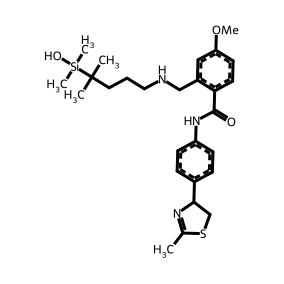 COc1ccc(C(=O)Nc2ccc(C3CSC(C)=N3)cc2)c(CNCCCC(C)(C)[Si](C)(C)O)c1